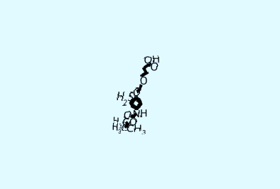 CC(C)(C)OC(=O)Nc1ccc(OCCOCCCC(=O)O)cc1.S